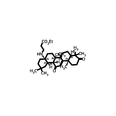 CCOC(=O)CCN[C@]12CCC(C)(C)C[C@H]1[C@H]1C(=O)C=C3[C@@]4(C)CCC(=O)C(C)(C)[C@@H]4CC[C@@]3(C)[C@]1(C)CC2